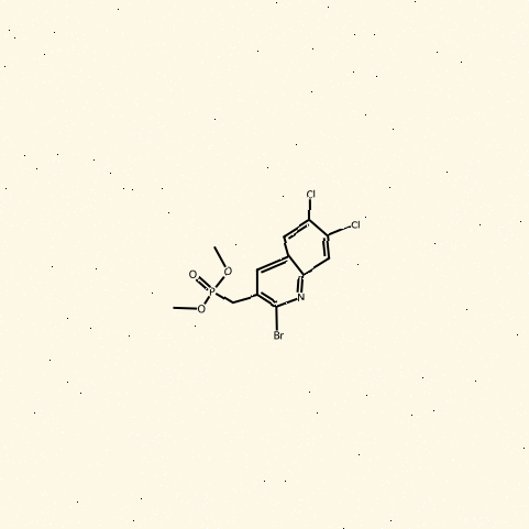 COP(=O)(Cc1cc2cc(Cl)c(Cl)cc2nc1Br)OC